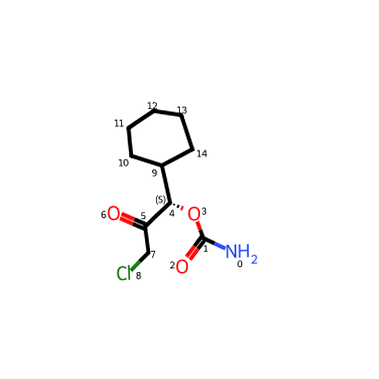 NC(=O)O[C@H](C(=O)CCl)C1CCCCC1